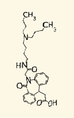 CCCCN(CCCC)CCCCNC(=O)CN1C(=O)c2ccccc2C(CC(=O)O)c2ccccc21